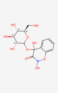 O=C1N(O)Oc2ccccc2C1(O)OC1O[C@H](CO)[C@@H](O)[C@H](O)[C@H]1O